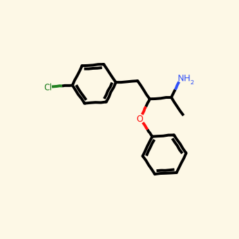 CC(N)C(Cc1ccc(Cl)cc1)Oc1ccccc1